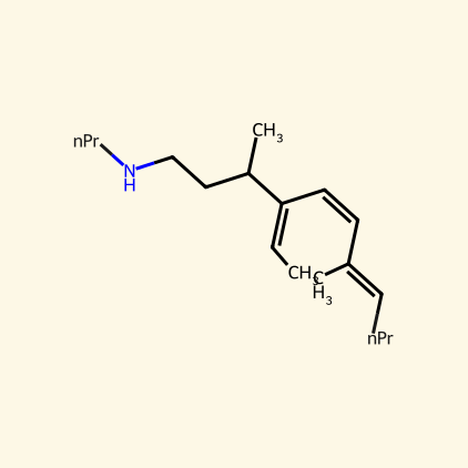 C\C=C(/C=C\C(C)=C\CCC)C(C)CCNCCC